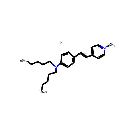 CCCCCCCCCCCCCCN(CCCCCCCCCCCCCC)c1ccc(/C=C/c2cc[n+](C)cc2)cc1.[I-]